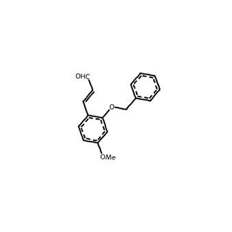 COc1ccc(C=CC=O)c(OCc2ccccc2)c1